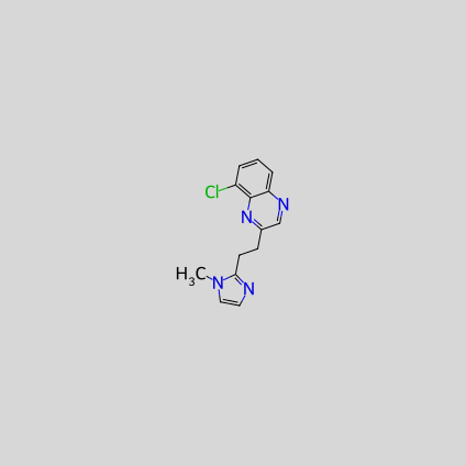 Cn1ccnc1CCc1cnc2cccc(Cl)c2n1